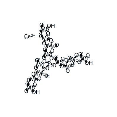 O=P([O][Mo](=[O])(=[O])[O][Mo](=[O])(=[O])[O][Mo](=[O])(=[O])[O][Mo](=[O])(=[O])[OH])([O][Mo](=[O])(=[O])[O][Mo](=[O])(=[O])[O][Mo](=[O])(=[O])[O][Mo](=[O])(=[O])[OH])[O][Mo](=[O])(=[O])[O][Mo](=[O])(=[O])[O][Mo](=[O])(=[O])[O][Mo](=[O])(=[O])[OH].[Ce+3]